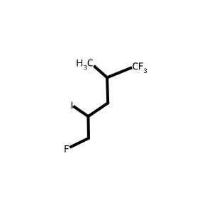 CC(CC(I)CF)C(F)(F)F